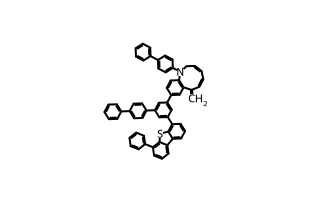 C=C1/C=C\C=C/CN(c2ccc(-c3ccccc3)cc2)c2ccc(-c3cc(-c4ccc(-c5ccccc5)cc4)cc(-c4cccc5c4sc4c(-c6ccccc6)cccc45)c3)cc21